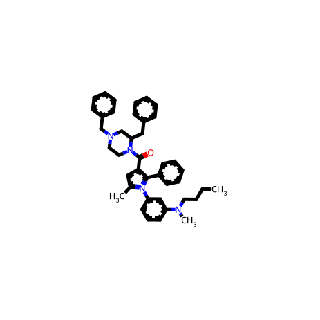 CCCCN(C)c1cccc(-n2c(C)cc(C(=O)N3CCN(Cc4ccccc4)CC3Cc3ccccc3)c2-c2ccccc2)c1